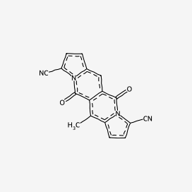 Cc1c2c(=O)n3c(C#N)ccc3cc2c(=O)n2c(C#N)ccc12